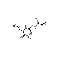 CC(C)(C)OC[C@@H](NC(=O)CNC(=O)CO)C(=O)OC(C)(C)C